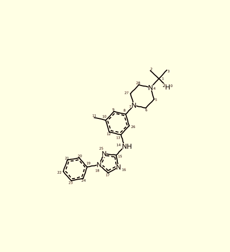 [2H]C(C)(C)N1CCN(c2cc(C)cc(Nc3ncn(-c4ccccc4)n3)c2)CC1